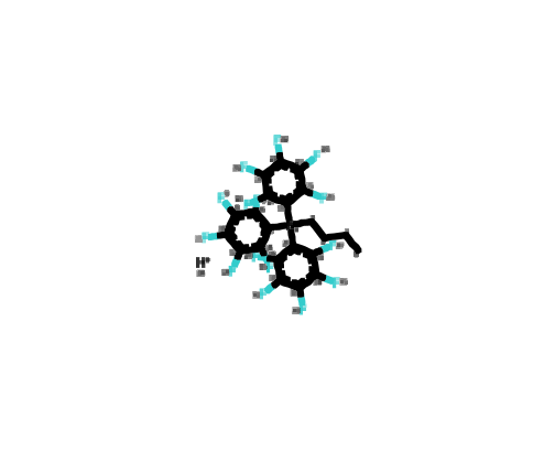 CCCC[B-](c1c(F)c(F)c(F)c(F)c1F)(c1c(F)c(F)c(F)c(F)c1F)c1c(F)c(F)c(F)c(F)c1F.[H+]